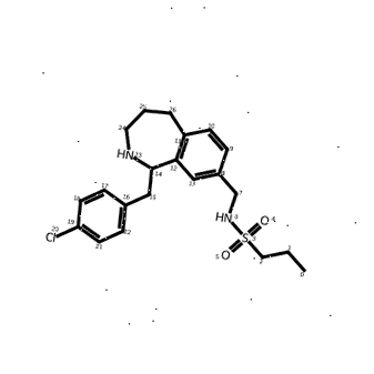 CCCS(=O)(=O)NCc1ccc2c(c1)C(Cc1ccc(Cl)cc1)NCCC2